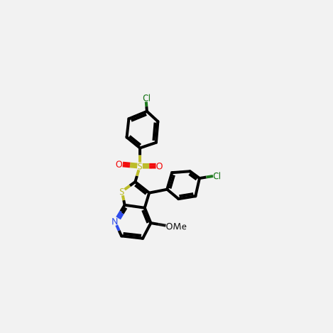 COc1ccnc2sc(S(=O)(=O)c3ccc(Cl)cc3)c(-c3ccc(Cl)cc3)c12